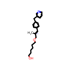 C/C(=C\c1ccc(Cc2cccnc2)cc1)COCCCCCCO